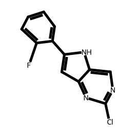 Fc1ccccc1-c1cc2nc(Cl)ncc2[nH]1